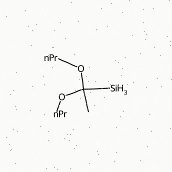 CCCOC(C)([SiH3])OCCC